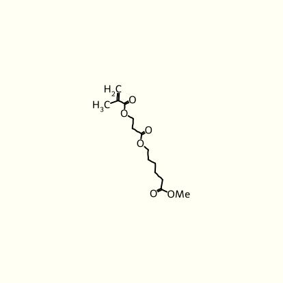 C=C(C)C(=O)OCCC(=O)OCCCCCC(=O)OC